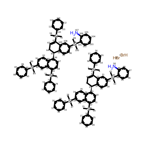 Br.Br.C[Si](C)(C1=CC[C@H](c2ccc([Si](C)(C)c3ccccc3)c3cc([Si](C)(C)c4ccccc4)ccc23)c2ccc([Si](C)(C)c3ccccc3N)cc21)c1ccccc1.C[Si](C)(C1=CC[C@H](c2ccc([Si](C)(C)c3ccccc3)c3cc([Si](C)(C)c4ccccc4)ccc23)c2ccc([Si](C)(C)c3ccccc3N)cc21)c1ccccc1